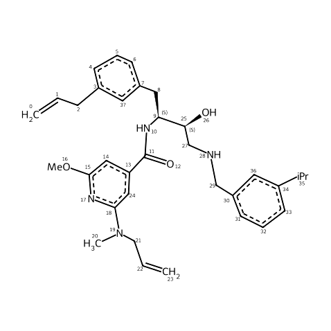 C=CCc1cccc(C[C@H](NC(=O)c2cc(OC)nc(N(C)CC=C)c2)[C@@H](O)CNCc2cccc(C(C)C)c2)c1